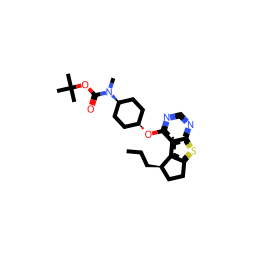 CCC[C@@H]1CCc2sc3ncnc(O[C@H]4CC[C@H](N(C)C(=O)OC(C)(C)C)CC4)c3c21